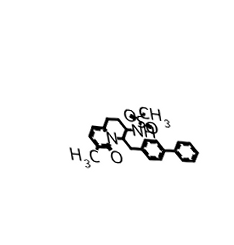 Cc1ccc2n(c1=O)C(Cc1ccc(-c3ccccc3)cc1)C(NS(C)(=O)=O)CC2